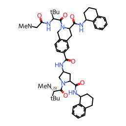 CNCC(=O)NC(C(=O)N1Cc2ccc(C(=O)NC3CC(C(=O)NC4CCCc5ccccc54)N(C(=O)[C@@H](NC)C(C)(C)C)C3)cc2CC1C(=O)NC1CCCc2ccccc21)C(C)(C)C